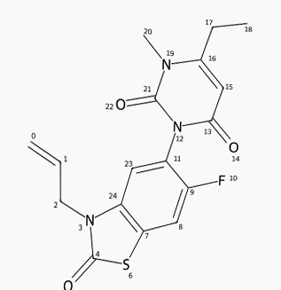 C=CCn1c(=O)sc2cc(F)c(-n3c(=O)cc(CC)n(C)c3=O)cc21